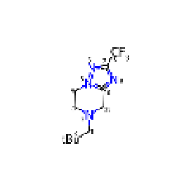 CC(C)(C)CN1CCn2nc(C(F)(F)F)nc2C1